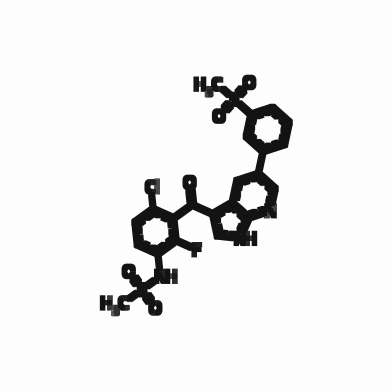 CS(=O)(=O)Nc1ccc(Cl)c(C(=O)c2c[nH]c3ncc(-c4cccc(S(C)(=O)=O)c4)cc23)c1F